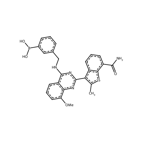 COc1cccc2c(NCc3cccc(B(O)O)c3)nc(-c3c(C)sc4c(C(N)=O)cccc34)nc12